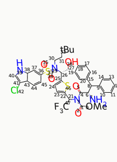 COC(=O)N(C(=O)[C@@H](N)C(c1ccccc1)c1ccccc1)[C@H](c1ccc([C@@H](CO)N(CCC(C)(C)C)S(=O)(=O)C2=CC3NC=C(Cl)C3C=C2)s1)C(F)(F)F